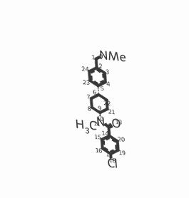 CNCc1ccc([C@H]2CC[C@@H](N(C)C(=O)c3ccc(Cl)cc3)CC2)cc1